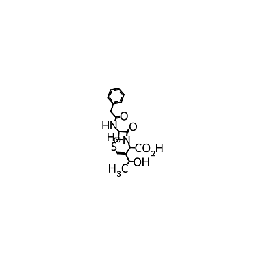 CC(O)C1=CS[C@H]2C(NC(=O)Cc3ccccc3)C(=O)N2C1C(=O)O